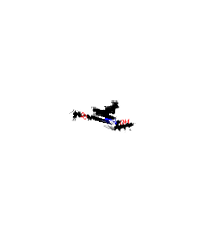 C=CCCC(O)CC(C)C(=C)N(CCCCOOCCC(=C)C)CCC(C)CCCC